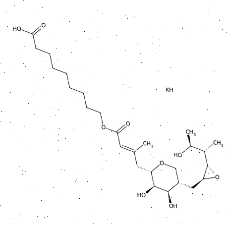 C/C(=C\C(=O)OCCCCCCCCC(=O)O)C[C@@H]1OC[C@H](C[C@@H]2O[C@H]2[C@@H](C)[C@H](C)O)[C@@H](O)[C@H]1O.[KH]